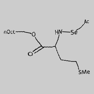 CCCCCCCCOC(=O)C(CCSC)N[Se]C(C)=O